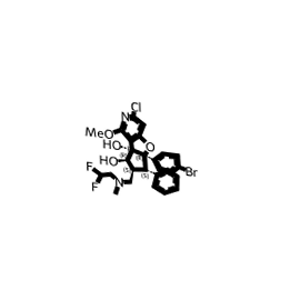 COc1nc(Cl)cc2c1[C@]1(O)[C@H](O)[C@H](CN(C)CC(F)F)[C@@H](c3ccccc3)[C@]1(c1ccc(Br)cc1)O2